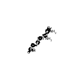 C[C@@H]1OCC2(CCN(c3cnc(Sc4ccnc(N5CCN(Cc6cccc(N7CCC(=O)NC7=O)c6)CC5)c4)c(N)n3)CC2)[C@@H]1N